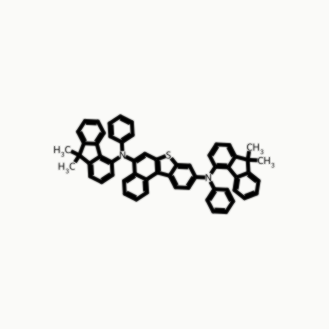 CC1(C)c2ccccc2-c2c(N(c3ccccc3)c3ccc4c(c3)sc3cc(N(c5ccccc5)c5cccc6c5-c5ccccc5C6(C)C)c5ccccc5c34)cccc21